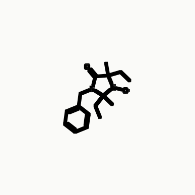 CCC1(C)C(=O)N(Cc2ccccc2)C(C)(CC)N1[O]